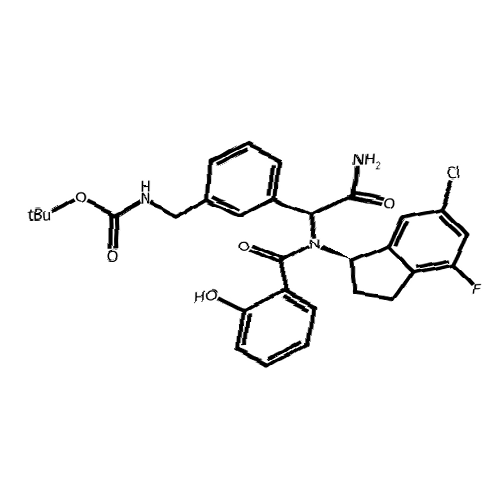 CC(C)(C)OC(=O)NCc1cccc(C(C(N)=O)N(C(=O)c2ccccc2O)[C@@H]2CCc3c(F)cc(Cl)cc32)c1